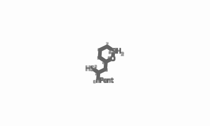 CCCCCC(S)CC1CCC[SiH2]O1